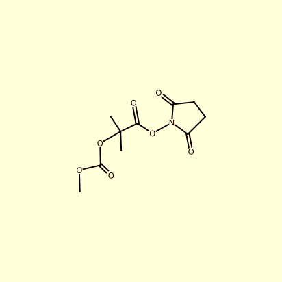 COC(=O)OC(C)(C)C(=O)ON1C(=O)CCC1=O